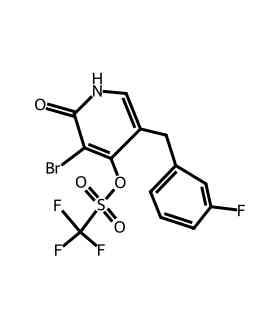 O=c1[nH]cc(Cc2cccc(F)c2)c(OS(=O)(=O)C(F)(F)F)c1Br